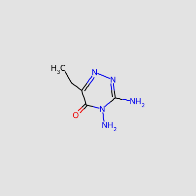 CCc1nnc(N)n(N)c1=O